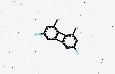 [CH]c1cc(F)cc2c1-c1c([CH])cc(F)cc1-2